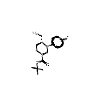 CC(C)(C)OC(=O)N1CC[C@H](CO)[C@@H](c2ccc(F)cc2)C1